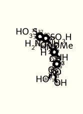 COc1cc(Nc2ccc(S(=O)(=O)N(CCO)CCO)cc2)c(C)cc1NNc1c(S(=O)(=O)O)cc2cc(S(=O)(=O)O)cc(N)c2c1O